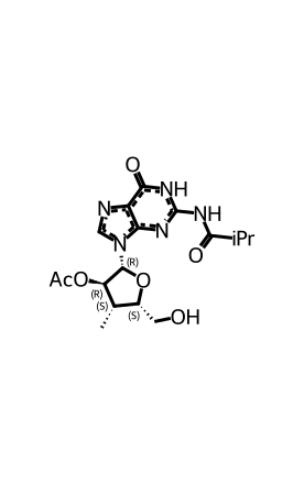 CC(=O)O[C@@H]1[C@@H](C)[C@@H](CO)O[C@H]1n1cnc2c(=O)[nH]c(NC(=O)C(C)C)nc21